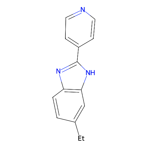 CCc1ccc2nc(-c3ccncc3)[nH]c2c1